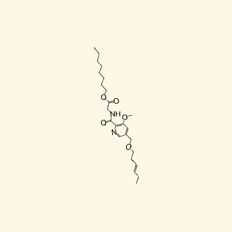 CCC=CCCOCc1cnc(C(=O)NCC(=O)OCCCCCCCC)c(OC)c1